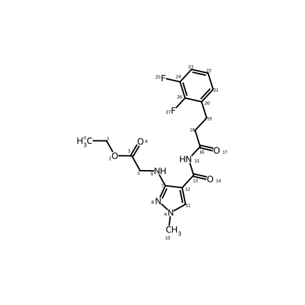 CCOC(=O)CNc1nn(C)cc1C(=O)NC(=O)CCc1cccc(F)c1F